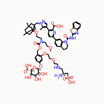 COCCN(CCOC12CC3(C)CC(C)(CC(Cn4ncc(-c5ccc(-c6ccc7c(c6)N(C(=O)Nc6nc8ccccc8s6)CCC7)nc5C(=O)O)c4C)(C3)C1)C2)C(=O)OCc1ccc(O[C@H]2O[C@@H](C(=O)O)[C@H](O)[C@@H](O)[C@@H]2O)cc1OCCOCCNC[C@@H](N)CS(=O)(=O)O